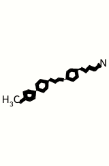 CCc1ccc([C@H]2CC[C@H](CCCC[C@H]3CC[C@H](CC/C=C/C#N)CC3)CC2)cc1